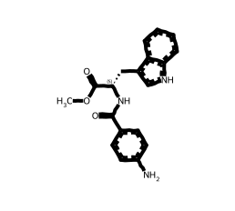 COC(=O)[C@H](Cc1c[nH]c2ccccc12)NC(=O)c1ccc(N)cc1